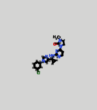 CN1CCN(c2ccnc(NC3(c4cn(-c5cccc(Cl)c5)cn4)CC3)n2)C1=O